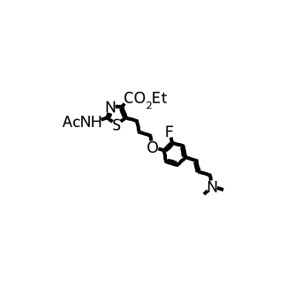 CCOC(=O)c1nc(NC(C)=O)sc1CCCOc1ccc(/C=C/CN(C)C)cc1F